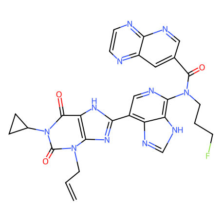 C=CCn1c(=O)n(C2CC2)c(=O)c2[nH]c(-c3cnc(N(CCCF)C(=O)c4cnc5nccnc5c4)c4[nH]cnc34)nc21